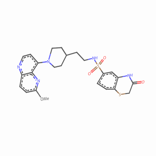 COc1ccc2nccc(N3CCC(CCNS(=O)(=O)c4ccc5c(c4)NC(=O)CS5)CC3)c2n1